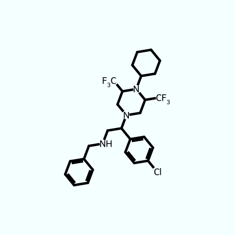 FC(F)(F)C1CN(C(CNCc2ccccc2)c2ccc(Cl)cc2)CC(C(F)(F)F)N1C1CCCCC1